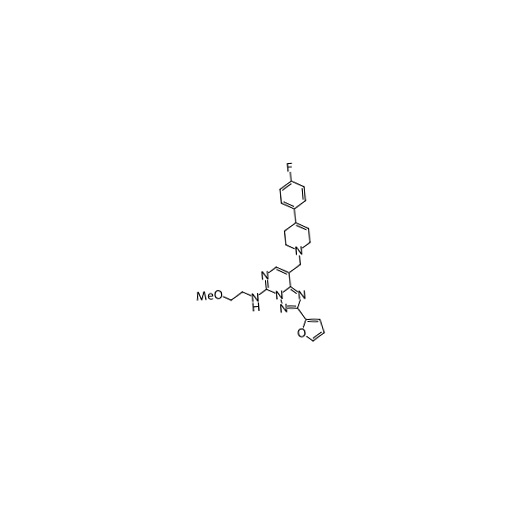 COCCNc1ncc(CN2CC=C(c3ccc(F)cc3)CC2)c2nc(-c3ccco3)nn12